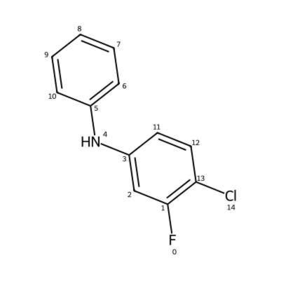 Fc1cc(Nc2ccccc2)ccc1Cl